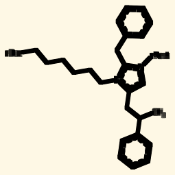 CCCCCCCCCCCCCCCC[n+]1c(CC(C)c2ccccc2)cn(CCCCC)c1Cc1ccccc1